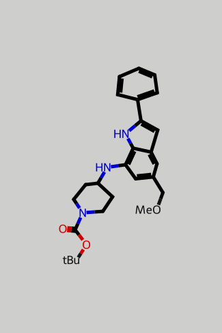 COCc1cc(NC2CCN(C(=O)OC(C)(C)C)CC2)c2[nH]c(-c3ccccc3)cc2c1